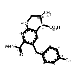 CNC(=O)c1nc2c(cc1Cc1ccc(F)cc1)N(C(=O)O)[C@@H](C)CO2